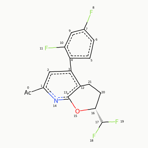 CC(=O)c1cc(-c2ccc(F)cc2F)c2c(n1)O[C@@H](C(F)F)CC2